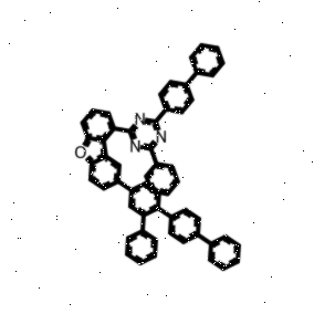 c1ccc(-c2ccc(-c3nc(-c4ccccc4)nc(-c4cccc5oc6ccc(-c7ccc(-c8ccc(-c9ccccc9)cc8)c(-c8ccccc8)c7)cc6c45)n3)cc2)cc1